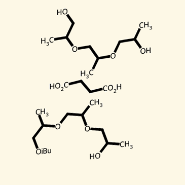 CC(C)COCC(C)OCC(C)OCC(C)O.CC(O)COC(C)COC(C)CO.O=C(O)CCC(=O)O